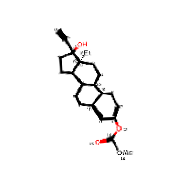 C#CC1(O)CCC2C3CCC4=CC(OC(=O)OC)=CCC4C3CC[C@@]21CC